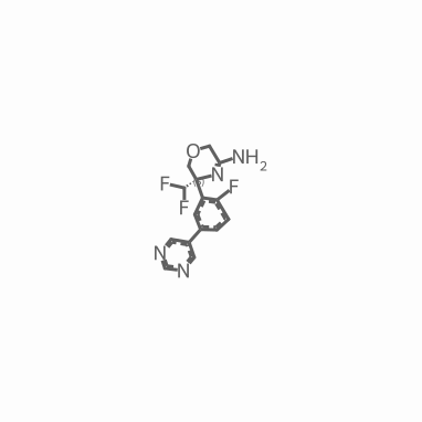 NC1=N[C@](c2cc(-c3cncnc3)ccc2F)(C(F)F)COC1